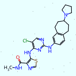 CNC(=O)c1ncsc1Nc1nc(Nc2ccc3c(c2)CCC(N2CCCC2)CC3)ncc1Cl